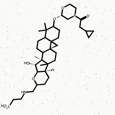 CC1(C)C(O[C@H]2CN(C(=O)CC3CC3)CCO2)CCC23C[C@]24CCC2(C)[C@H]5CCC(CNCCC(=O)O)OC5[C@H](O)[C@@]2(C)C4CCC13